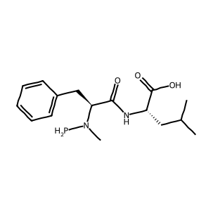 CC(C)C[C@H](NC(=O)[C@H](Cc1ccccc1)N(C)P)C(=O)O